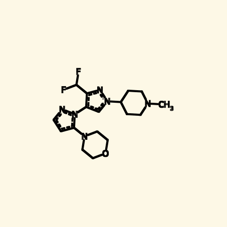 CN1CCC(n2cc(-n3nccc3N3CCOCC3)c(C(F)F)n2)CC1